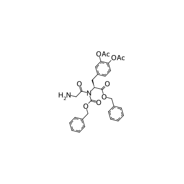 CC(=O)Oc1ccc(C[C@@H](C(=O)OCc2ccccc2)N(C(=O)CN)C(=O)OCc2ccccc2)cc1OC(C)=O